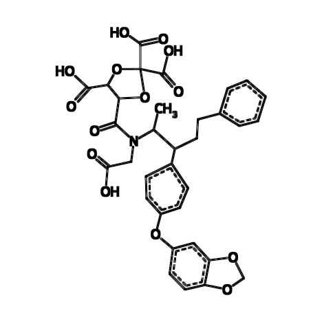 CC(C(CCc1ccccc1)c1ccc(Oc2ccc3c(c2)OCO3)cc1)N(CC(=O)O)C(=O)C1OC(C(=O)O)(C(=O)O)OC1C(=O)O